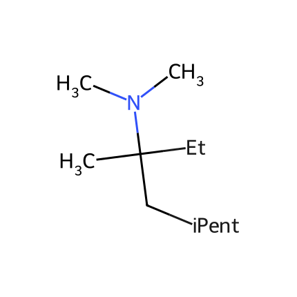 CCCC(C)CC(C)(CC)N(C)C